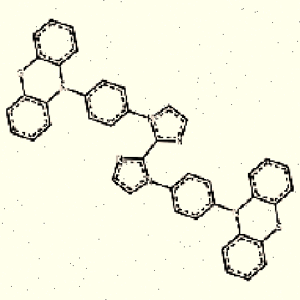 c1ccc2c(c1)Sc1ccccc1N2c1ccc(-n2ccnc2-c2nccn2-c2ccc(N3c4ccccc4Sc4ccccc43)cc2)cc1